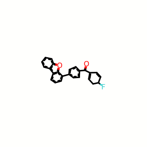 O=C(C1=CCC(F)C=C1)c1ccc(-c2cccc3c2oc2ccccc23)cc1